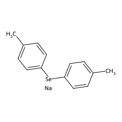 Cc1ccc([Se]c2ccc(C)cc2)cc1.[Na]